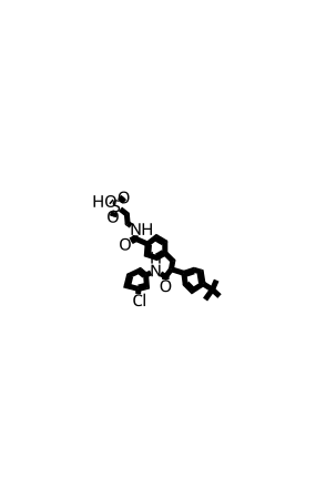 CC(C)(C)c1ccc(C(Cc2ccc(C(=O)NCCS(=O)(=O)O)cc2)C(=O)Nc2cccc(Cl)c2)cc1